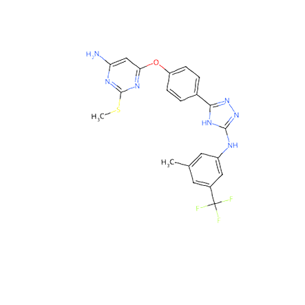 CSc1nc(N)cc(Oc2ccc(-c3nnc(Nc4cc(C)cc(C(F)(F)F)c4)[nH]3)cc2)n1